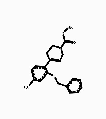 CC(C)(C)OC(=O)N1CC=C(c2ccc(C(F)(F)F)cc2OCc2ccccc2)CC1